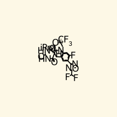 CC(C)[C@@H]1O[C@H](C(F)(F)F)CN2c3cc(F)c(-c4noc(C(F)F)n4)cc3CC3(C(=O)NC(=O)NC3=O)[C@@H]12